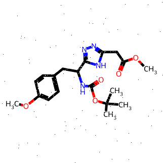 COC(=O)Cc1nnc(C(Cc2ccc(OC)cc2)NC(=O)OC(C)(C)C)[nH]1